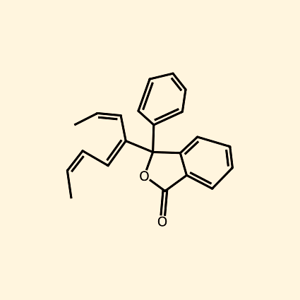 C\C=C/C=C(\C=C/C)C1(c2ccccc2)OC(=O)c2ccccc21